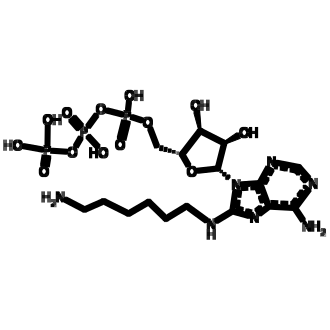 NCCCCCCNc1nc2c(N)ncnc2n1[C@@H]1O[C@H](COP(=O)(O)OP(=O)(O)OP(=O)(O)O)[C@@H](O)[C@H]1O